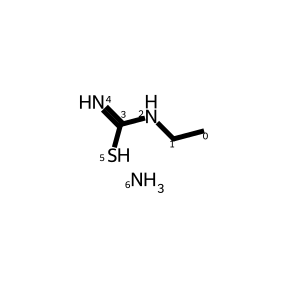 CCNC(=N)S.N